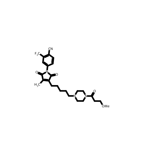 COCCC(=O)N1CCN(CCCCCC2=C(C)C(=O)N(c3ccc(C#N)c(C(F)(F)F)c3)C2=O)CC1